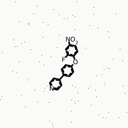 O=[N+]([O-])c1ccc(Oc2ccc(-c3ccncc3)cc2)c(F)c1